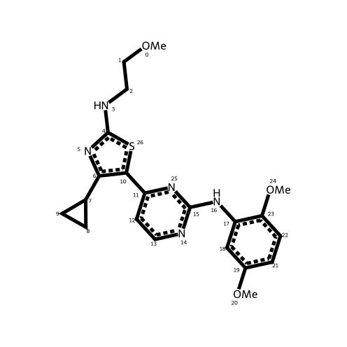 COCCNc1nc(C2CC2)c(-c2ccnc(Nc3cc(OC)ccc3OC)n2)s1